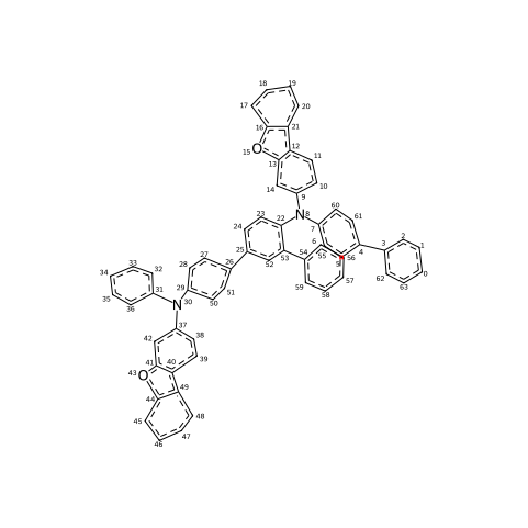 c1ccc(-c2ccc(N(c3ccc4c(c3)oc3ccccc34)c3ccc(-c4ccc(N(c5ccccc5)c5ccc6c(c5)oc5ccccc56)cc4)cc3-c3ccccc3)cc2)cc1